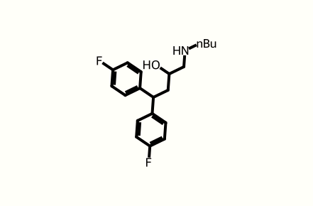 CCCCNCC(O)CC(c1ccc(F)cc1)c1ccc(F)cc1